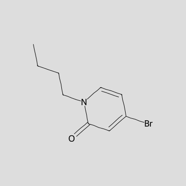 CCCCn1ccc(Br)cc1=O